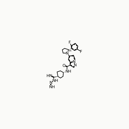 N=NNC(=N)[C@H]1CC[C@H](NC(=O)c2cnn3ccc(N4CCC[C@@H]4c4cc(F)ccc4F)cc23)CC1